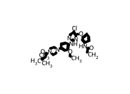 C=CC(=O)Nc1cccc(Oc2nc(Nc3ccc(N4CCN(C(=O)CC(C)(C)C)CC4)cc3OCC)ncc2Cl)c1